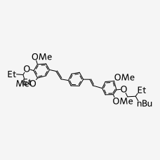 CCCCC(CC)COc1c(OC)cc(/C=C/c2ccc(/C=C/c3cc(OC)c(OC(CC)CC)c(OC)c3)cc2)cc1OC